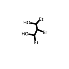 CCC(O)C(Br)C(O)CC